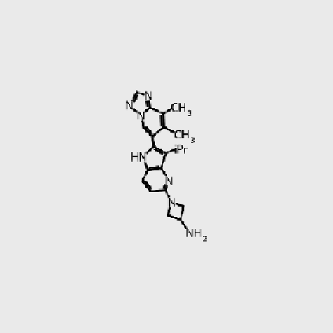 Cc1c(-c2[nH]c3ccc(N4CC(N)C4)nc3c2C(C)C)cn2ncnc2c1C